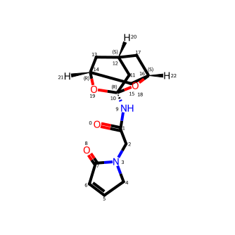 O=C(CN1CC=CC1=O)N[C@]12C[C@@H]3C[C@H](C[C@H](C3)O1)O2